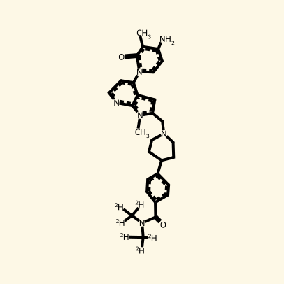 [2H]C([2H])([2H])N(C(=O)c1ccc(C2CCN(Cc3cc4c(-n5ccc(N)c(C)c5=O)ccnc4n3C)CC2)cc1)C([2H])([2H])[2H]